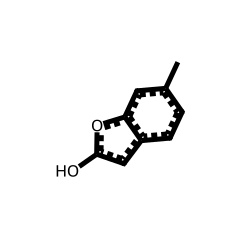 Cc1ccc2cc(O)oc2c1